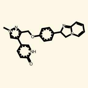 Cn1cc(-c2ccc(=O)[nH]c2)c(COc2ccc(C3CN4C=CC=CC4=N3)cc2)n1